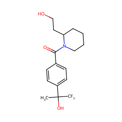 CC(O)(c1ccc(C(=O)N2CCCCC2CCO)cc1)C(F)(F)F